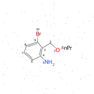 CCCOCc1c(N)cccc1Br